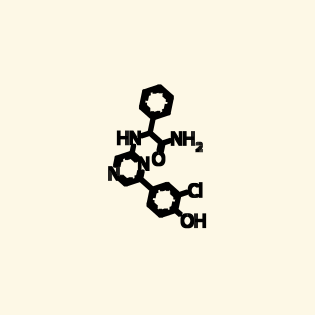 NC(=O)C(Nc1cncc(-c2ccc(O)c(Cl)c2)n1)c1ccccc1